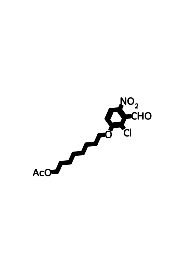 CC(=O)OCCCCCCCCOc1ccc([N+](=O)[O-])c(C=O)c1Cl